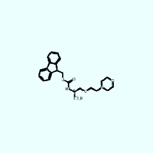 O=C(N[C@@H](COCCN1CCOCC1)C(=O)O)OCC1c2ccccc2-c2ccccc21